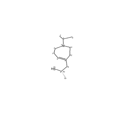 CC(C)N1CCC=C(C[C@H](C)S)CC1